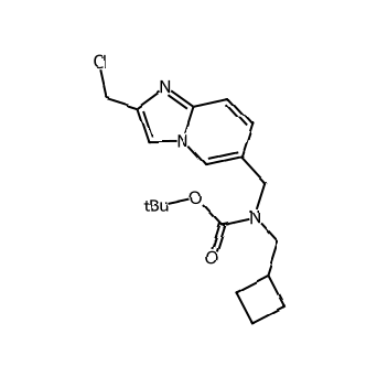 CC(C)(C)OC(=O)N(Cc1ccc2nc(CCl)cn2c1)CC1CCC1